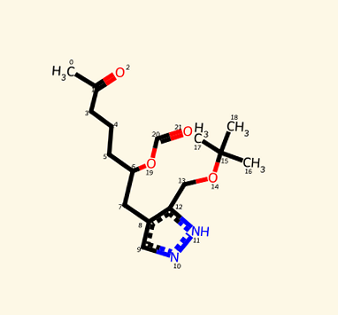 CC(=O)CCCC(Cc1cn[nH]c1COC(C)(C)C)OC=O